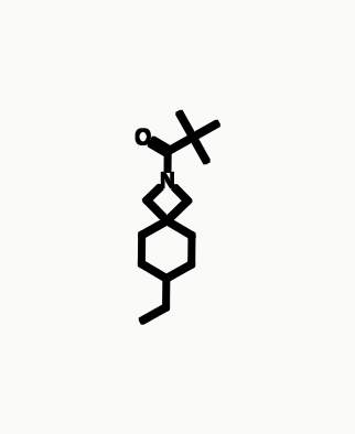 CCC1CCC2(CC1)CN(C(=O)C(C)(C)C)C2